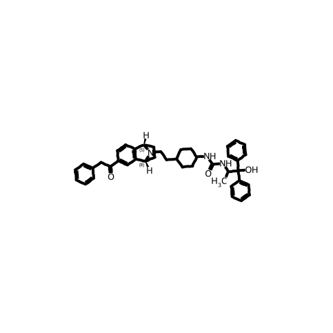 CC(NC(=O)NC1CCC(CCN2[C@@H]3CC[C@H]2c2ccc(C(=O)Cc4ccccc4)cc23)CC1)C(O)(c1ccccc1)c1ccccc1